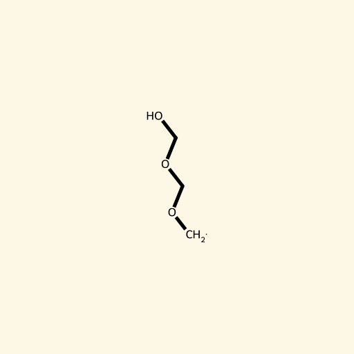 [CH2]OCOCO